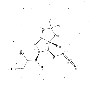 CC1(C)OC2C[C@H](C(O)C(O)CO)[C@H](CN=[N+]=[N-])[C@H]2O1